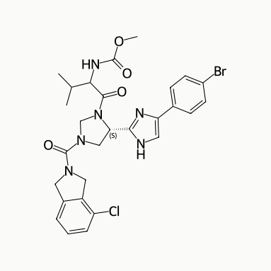 COC(=O)NC(C(=O)N1CN(C(=O)N2Cc3cccc(Cl)c3C2)C[C@H]1c1nc(-c2ccc(Br)cc2)c[nH]1)C(C)C